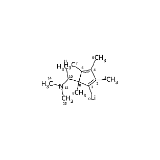 [Li][C]1=C(C)C(C)=C(C)C1(C)C(C)N(C)C